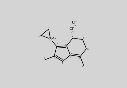 CC1=CC2=C(C)CCCC2=[C]1[Zr+2]1[CH2][CH2]1.[Cl-].[Cl-]